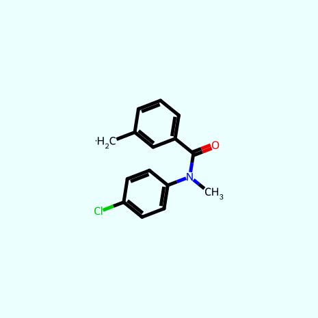 [CH2]c1cccc(C(=O)N(C)c2ccc(Cl)cc2)c1